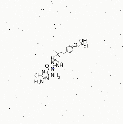 CC[C@H](O)COc1ccc(CCC(C)(C)C[C@H]2CN/C(=N/C(=O)c3nc(Cl)c(N)nc3N)N2)cc1